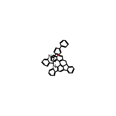 c1ccc(-c2ccc(-c3nc(-n4c5ccccc5c5cc6c7c(c54)-c4c(ccc5ccccc45)CC7c4ccccc4-6)c4ccccc4n3)cc2)cc1